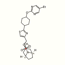 CCc1cnc(OC2CCC(c3nc(CO[C@H]4C[C@H]5CC[C@@H](C4)N5S(C)(=O)=O)cs3)CC2)nc1